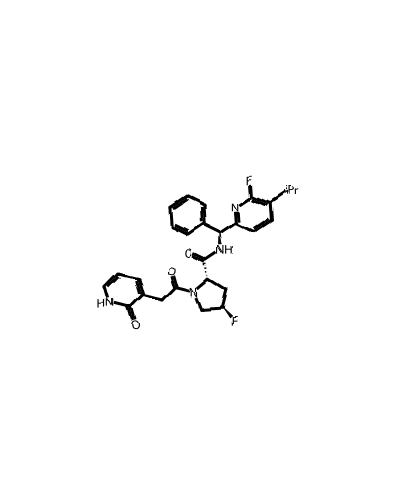 CC(C)c1ccc([C@@H](NC(=O)[C@@H]2C[C@@H](F)CN2C(=O)Cc2ccc[nH]c2=O)c2ccccc2)nc1F